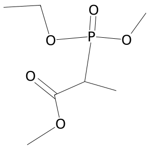 CCOP(=O)(OC)C(C)C(=O)OC